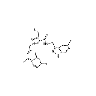 O=C(NCc1n[nH]c2ccc(Cl)cc12)c1cn(Cc2cc(F)c3ncc(Cl)cc3c2)nc1CF